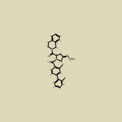 CON=C1CC(C(=O)N2CCc3ccccc3C2)N(C(=O)c2ccc(-c3ccccc3C)cc2C)C1